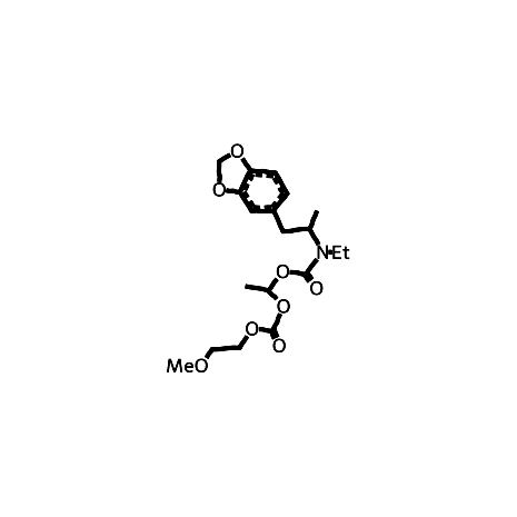 CCN(C(=O)OC(C)OC(=O)OCCOC)C(C)Cc1ccc2c(c1)OCO2